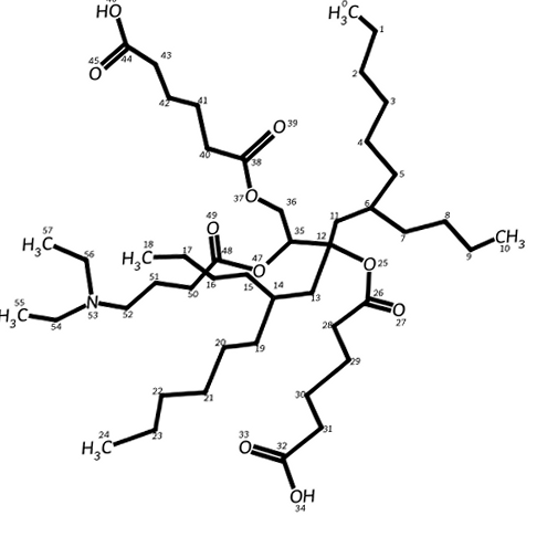 CCCCCCC(CCCC)CC(CC(CCCC)CCCCCC)(OC(=O)CCCCC(=O)O)C(COC(=O)CCCCC(=O)O)OC(=O)CCCN(CC)CC